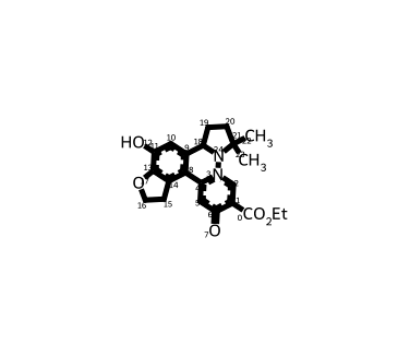 CCOC(=O)c1cn2c(cc1=O)-c1c(cc(O)c3c1CCO3)C1CCC(C)(C)N12